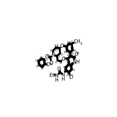 CCNC(=O)Nc1cc2c(OCCC3CCCCN3C(=O)OCc3ccccc3)c(-c3cc(C)cc(C)c3)c(=O)[nH]c2cc1Cl